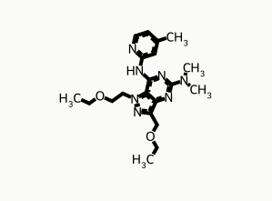 CCOCCn1nc(COCC)c2nc(N(C)C)nc(Nc3cc(C)ccn3)c21